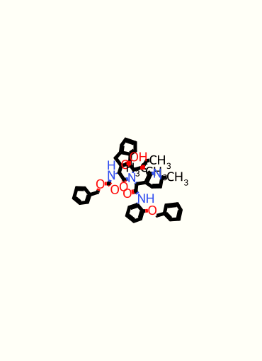 CC[C@H](C)[C@H](C(=O)O)N(C(=O)[C@H](NC(=O)OCc1ccccc1)C1Cc2ccccc2C1)C(C(=O)Nc1ccccc1OCc1ccccc1)c1ccc(C)nc1C